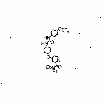 CCN(CC)C(=O)c1cc(O[C@H]2CC[C@H](NC(=O)Nc3ccc(OC(F)(F)F)cc3)CC2)ccn1